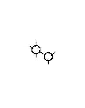 Cc1cc(-c2cc([N+](=O)[O-])c(O)cc2Br)cc(C(F)(F)F)c1